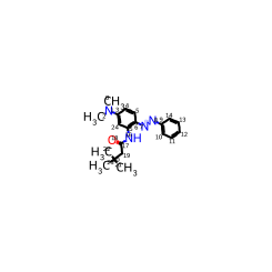 CN(C)c1ccc(/N=N/c2ccccc2)c(NC(=O)CC(C)(C)C)c1